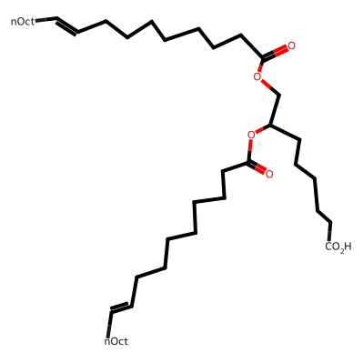 CCCCCCCCC=CCCCCCCCC(=O)OCC(CCCCCC(=O)O)OC(=O)CCCCCCCC=CCCCCCCCC